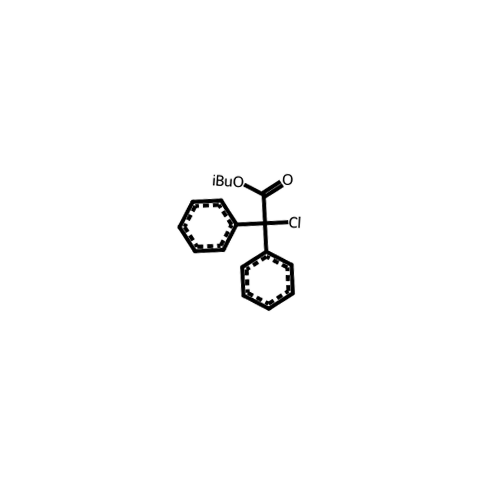 CC(C)COC(=O)C(Cl)(c1ccccc1)c1ccccc1